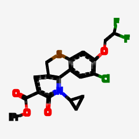 CC(C)OC(=O)c1cc2c(n(C3CC3)c1=O)-c1cc(Cl)c(OCC(F)F)cc1SC2